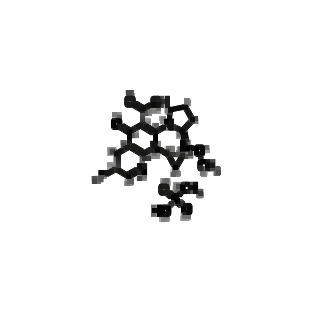 CON=C1CCCN1c1c(C(=O)O)c(=O)c2cc(F)cnc2n1C1CC1.CS(=O)(=O)O